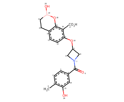 Cc1ccc(C(=O)N2CC(Oc3ccc4c(c3C(=O)O)OB(O)CC4)C2)cc1O